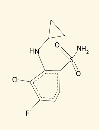 NS(=O)(=O)c1ccc(F)c(Cl)c1NC1CC1